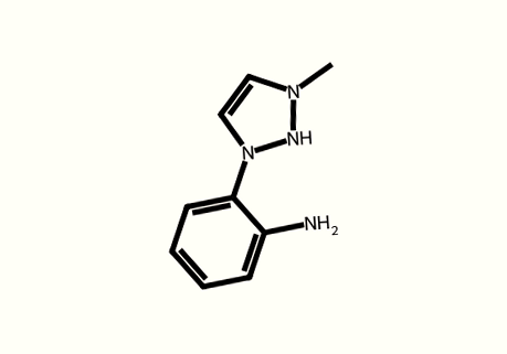 CN1C=CN(c2ccccc2N)N1